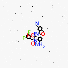 CN(C)Cc1ccc2c(c1)C(NC[C@@H](O)[C@H](Cc1cc(F)cc(F)c1)N(C(N)=O)c1ccccc1)COC2